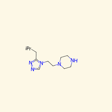 CC(C)Cc1nncn1CCN1CCNCC1